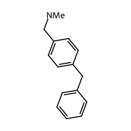 CNCc1ccc(Cc2ccccc2)cc1